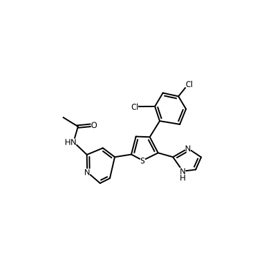 CC(=O)Nc1cc(-c2cc(-c3ccc(Cl)cc3Cl)c(-c3ncc[nH]3)s2)ccn1